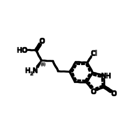 N[C@H](CCc1cc(Cl)c2[nH]c(=O)oc2c1)C(=O)O